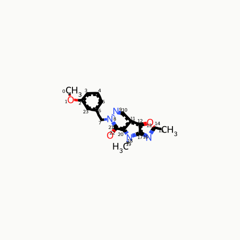 COc1cccc(Cn2ncc3c4oc(C)nc4n(C)c3c2=O)c1